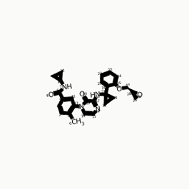 Cc1ccc(C(=O)NC2CC2)cc1-n1ccnc(NC2(c3ccccc3OC[C@@H]3CO3)CC2)c1=O